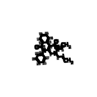 C=CCN(CC=C)Cc1c(C(=O)O)c2ccccc2c(=O)n1-c1ccccc1